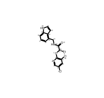 CC[C@@H](Oc1ncc(Cl)cc1Cl)C(=O)NCc1cccc2[nH]ccc12